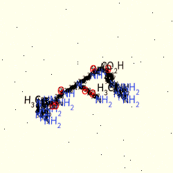 CN(Cc1cnc2nc(N)nc(N)c2n1)c1ccc(C(=O)N[C@@H](CCC(=O)NCCCCCN(CCCCCNC(=O)CC[C@H](NC(=O)c2ccc(N(C)Cc3cnc4nc(N)nc(N)c4n3)cc2)C(=O)O)CCOCCOCCN)C(N)=O)cc1